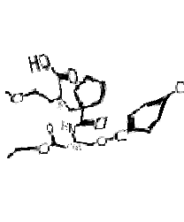 CCOC(=O)C[C@@H](COCc1ccc(Cl)cc1)NC(=O)C1(C[C@@H](CCOC)C(=O)O)CCCC1